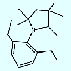 CCc1cccc(CC)c1N1C(C)C(C)(C)CC1(C)C